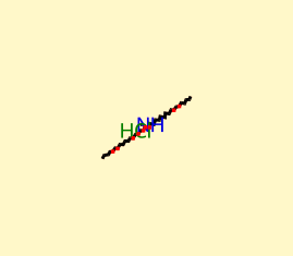 CCCCCCCCCCCCCCCCCCC(CCCCCCCCCCCCCCCCC)NC.Cl